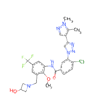 COc1c(CN2CC(O)C2)cc(C(F)(F)F)cc1NC(=O)c1ccc(Cl)c(-n2cc(-c3cnn(C)c3C)nn2)c1